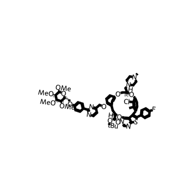 CO[C@H]1O[C@H](COc2ccc(-c3nccc(COc4ccc5cc4C[C@H](C(=O)OC(C)(C)C)Oc4ncnc6sc(-c7ccc(F)cc7)c(c46)-c4ccc(c(Cl)c4C)O[C@H](CN4CCN(C)CC4)CO5)n3)cc2)[C@@H](OC)[C@H](OC)[C@@H]1OC